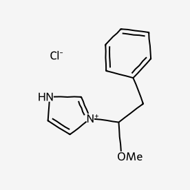 COC(Cc1ccccc1)[n+]1cc[nH]c1.[Cl-]